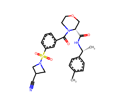 Cc1ccc([C@@H](C)NC(=O)[C@H]2COCCN2C(=O)c2cccc(S(=O)(=O)N3CC(C#N)C3)c2)cc1